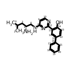 CC(C)C[C@@H](N)CNc1ccnc(-c2cc(-c3ccccc3)ccc2O)n1